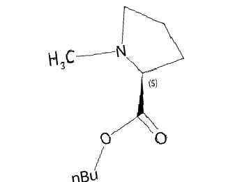 CCCCOC(=O)[C@@H]1CCCN1C